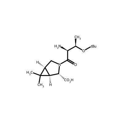 C[C@@H](OC(C)(C)C)[C@H](N)C(=O)N1C[C@H]2[C@@H]([C@H]1C(=O)O)C2(C)C